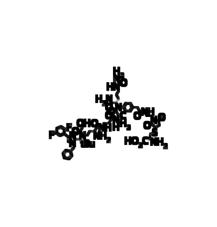 C[C@H](NC(=O)CCNC(=O)[C@@H](N)CCN(C(=O)CO)[C@@H](c1nc(-c2cc(F)ccc2F)cn1Cc1ccccc1)C(C)(C)C)C(=O)N(c1ccc(CC(=O)NCCN2C(=O)CC(SC[C@H](N)C(=O)O)C2=O)cc1)[C@@H](CCCNC(N)=O)C(N)=O